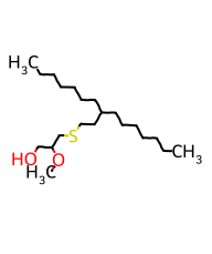 CCCCCCCC(CCCCCCC)CCSCC(CO)OC